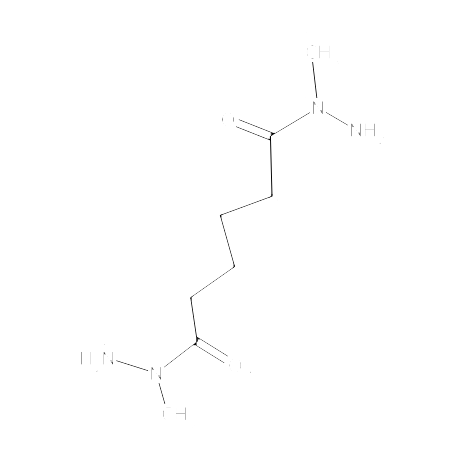 CN(N)C(=O)CCCCC(=O)N(C)N